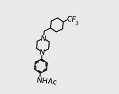 CC(=O)Nc1ccc(N2CCN(CC3CCC(C(F)(F)F)CC3)CC2)cc1